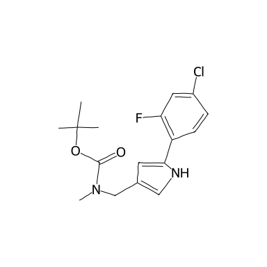 CN(Cc1c[nH]c(-c2ccc(Cl)cc2F)c1)C(=O)OC(C)(C)C